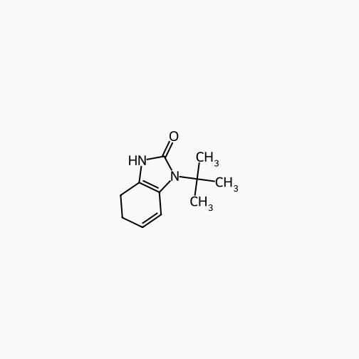 CC(C)(C)n1c2c([nH]c1=O)CCC=C2